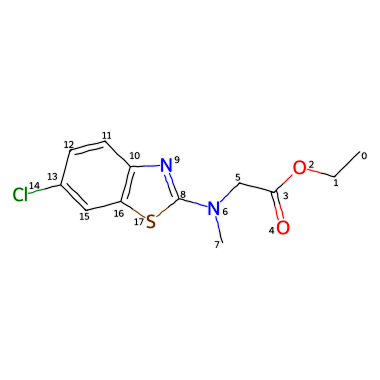 CCOC(=O)CN(C)c1nc2ccc(Cl)cc2s1